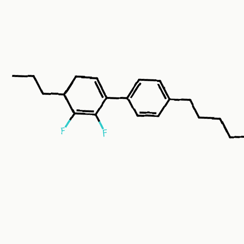 CCCCCc1ccc(C2=CCC(CCC)C(F)=C2F)cc1